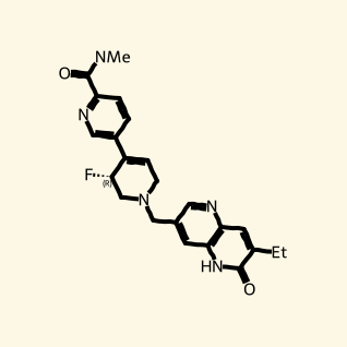 CCc1cc2ncc(CN3CC=C(c4ccc(C(=O)NC)nc4)[C@@H](F)C3)cc2[nH]c1=O